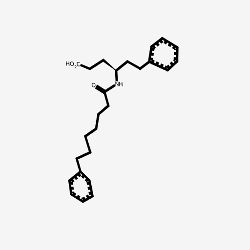 O=C(O)CC[C@@H](CCc1ccccc1)NC(=O)CCCCCCc1ccccc1